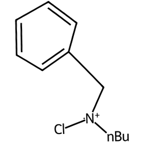 CCCC[N+](Cl)Cc1ccccc1